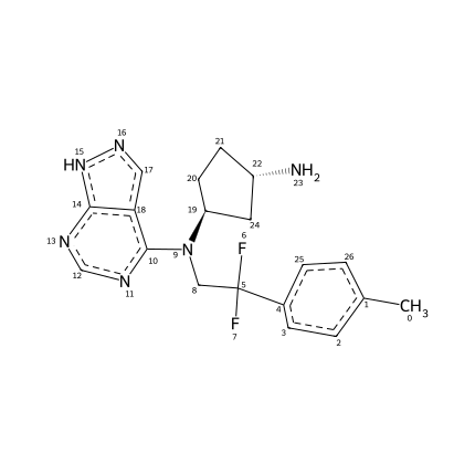 Cc1ccc(C(F)(F)CN(c2ncnc3[nH]ncc23)[C@H]2CC[C@H](N)C2)cc1